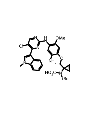 COc1cc(OCC2(N(C(=O)O)C(C)(C)C)CC2)c(N)cc1Nc1ncc(Cl)c(-c2cn(C)c3ccccc23)n1